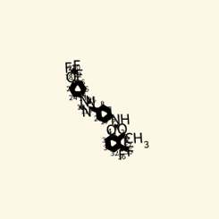 CC(OC(=O)Nc1ccc(-c2ncn(-c3ccc(OC(F)(F)F)cc3)n2)cc1)c1ccccc1C(F)(F)F